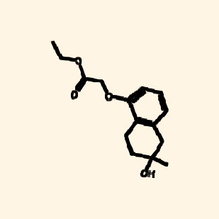 CCOC(=O)COc1cccc2c1CCC(C)(O)C2